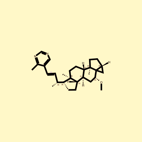 CO[C@@H]1C[C@H]2[C@@H]3CC[C@H]([C@H](C)/C=C/c4cncnc4C)[C@@]3(C)CC[C@@H]2[C@@]2(C)CC[C@@H]3CC312